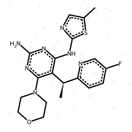 Cc1cnc(Nc2nc(N)nc(N3CCOCC3)c2[C@H](C)c2ccc(F)cn2)s1